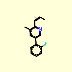 C/C=C\c1ncc(-c2ccccc2F)cc1C